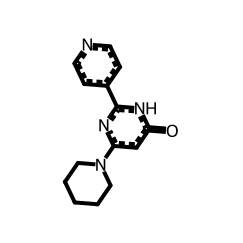 O=c1cc(N2CCCCC2)nc(-c2ccncc2)[nH]1